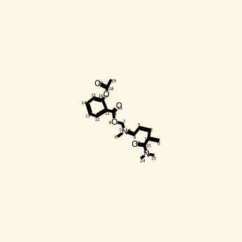 C=C(/C=C\C=[N+](\C)COC(=O)c1ccccc1OC(C)=O)C(=O)N(C)C